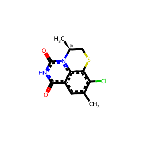 Cc1cc2c(=O)[nH]c(=O)n3c2c(c1Cl)SC[C@@H]3C